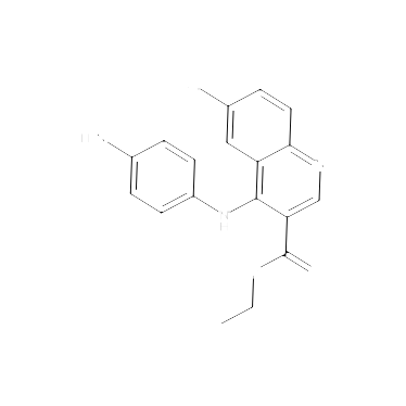 CCOC(=O)c1cnc2ccc(Cl)cc2c1Nc1ccc(N)cc1